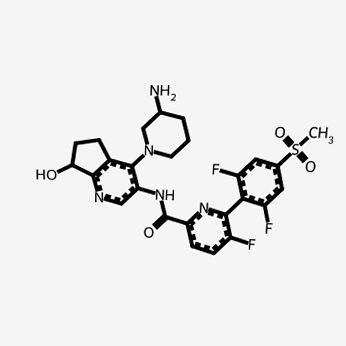 CS(=O)(=O)c1cc(F)c(-c2nc(C(=O)Nc3cnc4c(c3N3CCCC(N)C3)CCC4O)ccc2F)c(F)c1